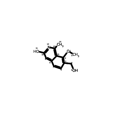 COc1c(CO)ccc2cc(O)nc(C)c12